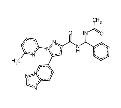 CC(=O)NC(NC(=O)c1cc(-c2ccc3ncnn3c2)n(-c2cccc(C)n2)n1)c1ccccc1